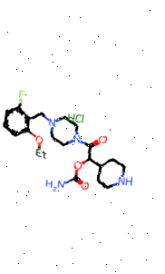 CCOc1cccc(F)c1CN1CCN(C(=O)C(OC(N)=O)C2CCNCC2)CC1.Cl